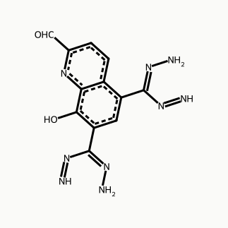 N=NC(=NN)c1cc(C(N=N)=NN)c2ccc(C=O)nc2c1O